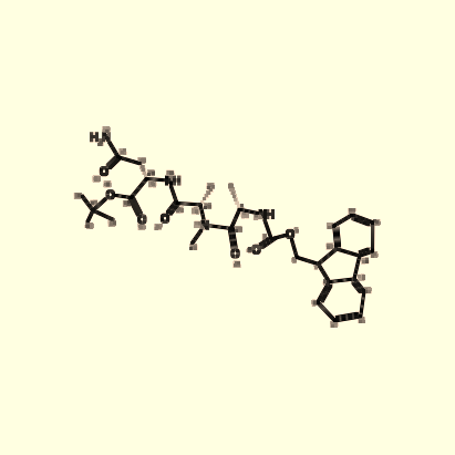 C[C@H](NC(=O)OCC1c2ccccc2-c2ccccc21)C(=O)N(C)[C@@H](C)C(=O)N[C@@H](CC(N)=O)C(=O)OC(C)(C)C